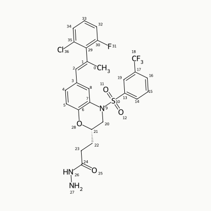 CC(=Cc1ccc2c(c1)N(S(=O)(=O)c1cccc(C(F)(F)F)c1)C[C@H](CCC(=O)NN)O2)c1c(F)cccc1Cl